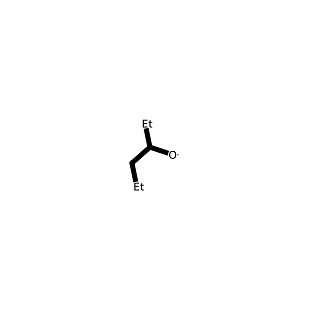 CCCC([O])CC